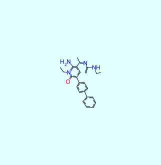 C=C(/N=C(/C)c1cc(-c2ccc(-c3ccccc3)cc2)c(=O)n(CC)c1N)NCC